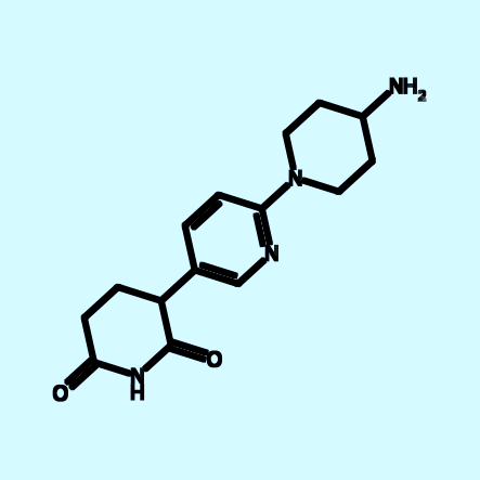 NC1CCN(c2ccc(C3CCC(=O)NC3=O)cn2)CC1